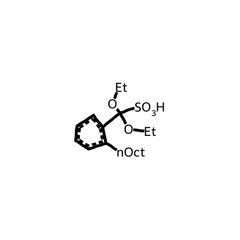 CCCCCCCCc1ccccc1C(OCC)(OCC)S(=O)(=O)O